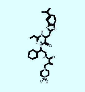 C=C(CN1CCS(=O)(=O)CC1)C(=O)NCC(NC(=O)C(Cc1nc2ccc(C(C)C)cc2s1)NC(=O)CC)C1CCCCC1